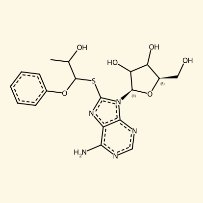 CC(O)C(Oc1ccccc1)Sc1nc2c(N)ncnc2n1[C@@H]1O[C@H](CO)C(O)C1O